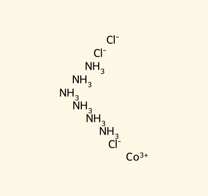 N.N.N.N.N.N.[Cl-].[Cl-].[Cl-].[Co+3]